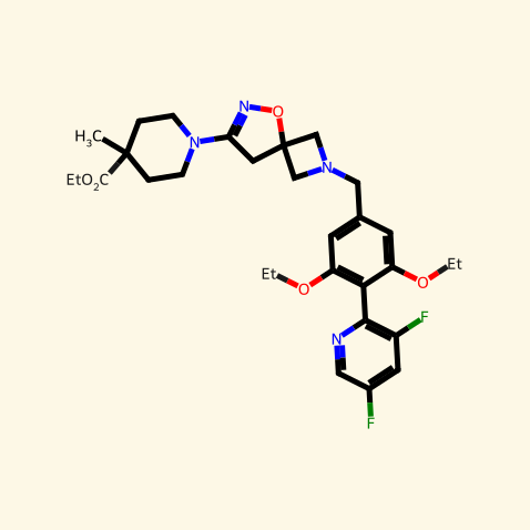 CCOC(=O)C1(C)CCN(C2=NOC3(C2)CN(Cc2cc(OCC)c(-c4ncc(F)cc4F)c(OCC)c2)C3)CC1